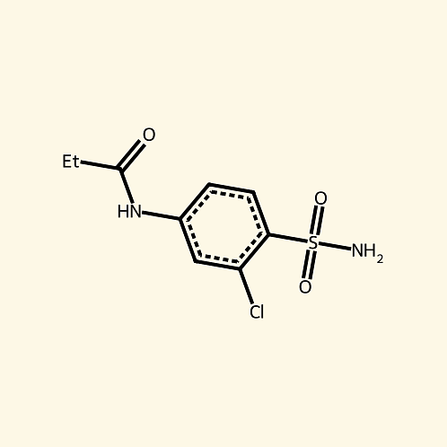 CCC(=O)Nc1ccc(S(N)(=O)=O)c(Cl)c1